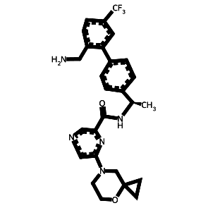 C[C@@H](NC(=O)c1cncc(N2CCOC3(CC3)C2)n1)c1ccc(-c2cc(C(F)(F)F)ccc2CN)cc1